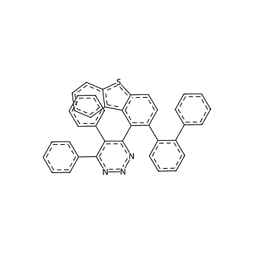 c1ccc(-c2ccccc2-c2ccc3sc4ccccc4c3c2-c2nnnc(-c3ccccc3)c2-c2ccccc2)cc1